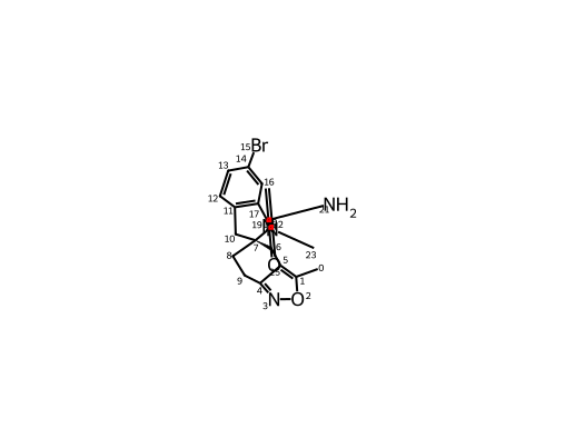 Cc1onc2c1C[C@@]1(CC2)Cc2ccc(Br)cc2C12N=C(N)N(C)C2=O